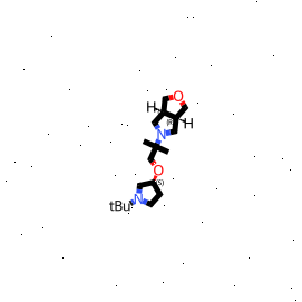 CC(C)(C)N1CC[C@H](OCC(C)(C)N2C[C@H]3COC[C@H]3C2)C1